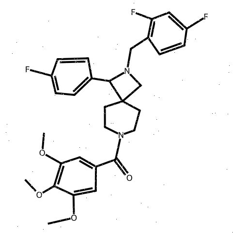 COc1cc(C(=O)N2CCC3(CC2)CN(Cc2ccc(F)cc2F)C3c2ccc(F)cc2)cc(OC)c1OC